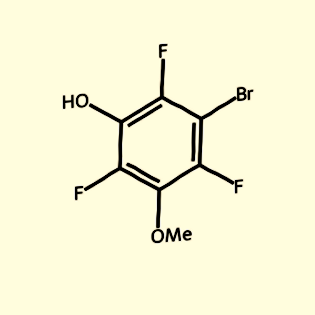 COc1c(F)c(O)c(F)c(Br)c1F